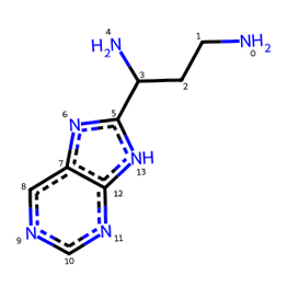 NCCC(N)c1nc2cncnc2[nH]1